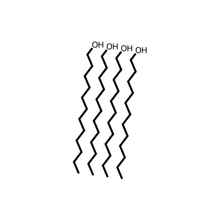 CCCCCCCCCCCCO.CCCCCCCCCCCCO.CCCCCCCCCCCCO.CCCCCCCCCCCCO